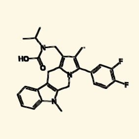 [CH2]c1c(CN(C(=O)O)C(C)C)c2n(c1-c1ccc(F)c(F)c1)Cc1c(c3ccccc3n1C)C2